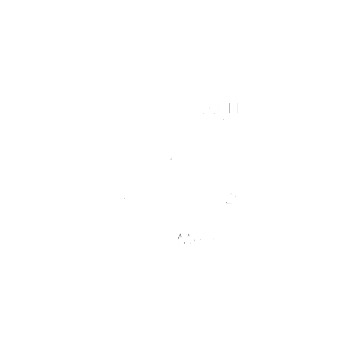 C[O][Zn].O=C(O)C=Cc1ccccc1